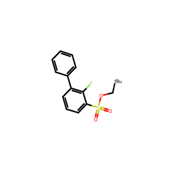 CC(C)(C)COS(=O)(=O)c1cccc(-c2ccccc2)c1F